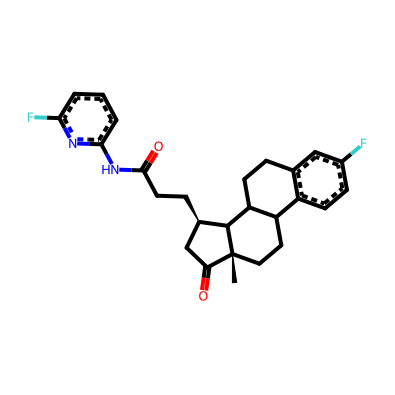 C[C@]12CCC3c4ccc(F)cc4CCC3C1[C@H](CCC(=O)Nc1cccc(F)n1)CC2=O